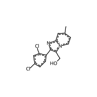 Cc1ccn2c(CO)c(-c3ccc(Cl)cc3Cl)nc2c1